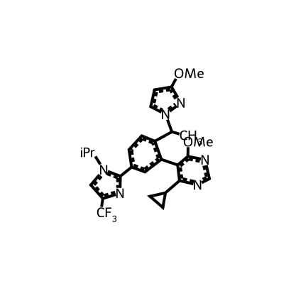 COc1ccn(C(C)c2ccc(-c3nc(C(F)(F)F)cn3C(C)C)cc2-c2c(OC)ncnc2C2CC2)n1